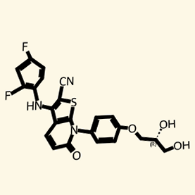 N#Cc1sc2c(ccc(=O)n2-c2ccc(OC[C@H](O)CO)cc2)c1Nc1ccc(F)cc1F